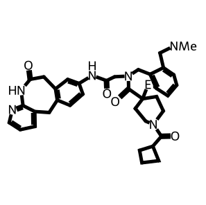 CCC1(C(=O)N(CC(=O)Nc2ccc3c(c2)CC(=O)Nc2ncccc2C3)Cc2ccccc2CNC)CCN(C(=O)C2CCC2)CC1